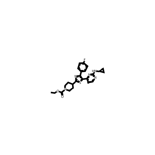 CCOC(=O)N1CCC(c2nc(-c3ccc(F)cc3)c(-c3ccnc(NC4CC4)n3)s2)CC1